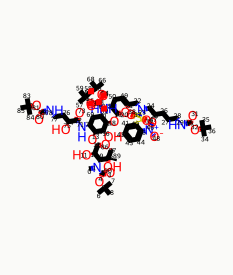 CN(C(=O)OC(C)(C)C)[C@@H]1[C@@H](O)[C@@H](O[C@@H]2[C@@H](O)[C@H](O[C@H]3OC(CN(CCCCCNC(=O)OC(C)(C)C)S(=O)(=O)c4ccccc4[N+](=O)[O-])=CC[C@H]3NC(=O)OC(C)(C)C)[C@@H](NC(=O)OC(C)(C)C)C[C@H]2NC(=O)[C@@H](O)CCNC(=O)OC(C)(C)C)OC[C@]1(C)O